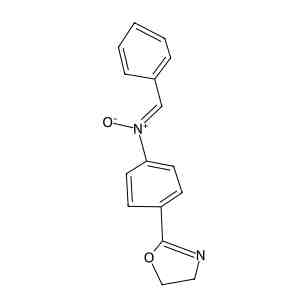 [O-][N+](=Cc1ccccc1)c1ccc(C2=NCCO2)cc1